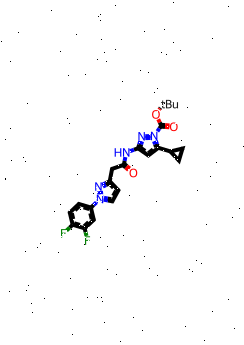 CC(C)(C)OC(=O)n1nc(NC(=O)Cc2ccn(-c3ccc(F)c(F)c3)n2)cc1C1CC1